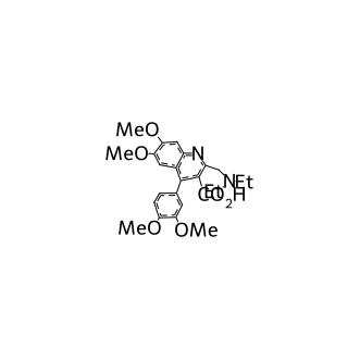 CCN(CC)Cc1nc2cc(OC)c(OC)cc2c(-c2ccc(OC)c(OC)c2)c1C(=O)O